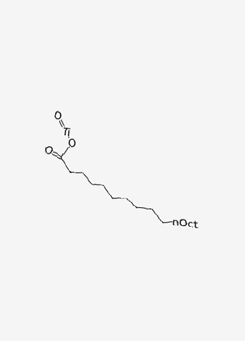 CCCCCCCCCCCCCCCCCC(=O)[O][Ti]=[O]